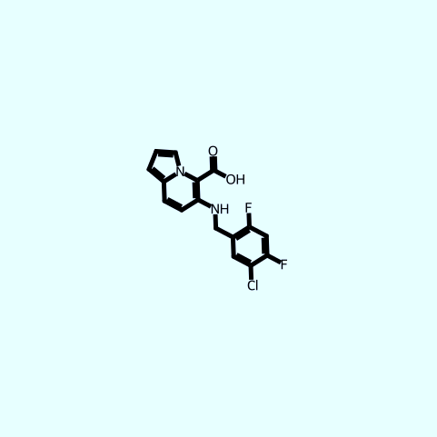 O=C(O)c1c(NCc2cc(Cl)c(F)cc2F)ccc2cccn12